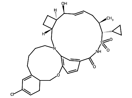 C[C@@H]1C/C=C/[C@H](O)[C@@H]2CC[C@H]2CN2CCCCC3=CC(Cl)=CCC3COc3ccc(cc32)C(=O)NS(=O)(=O)[C@H]1C1CC1